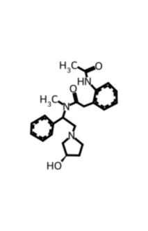 CC(=O)Nc1ccccc1CC(=O)N(C)C(CN1CC[C@@H](O)C1)c1ccccc1